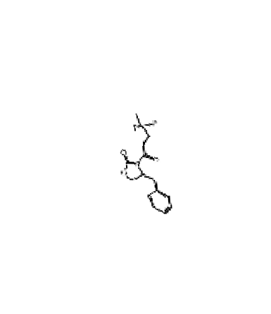 CC(F)(F)CCC(=O)N1C(=O)OCC1Cc1ccccc1